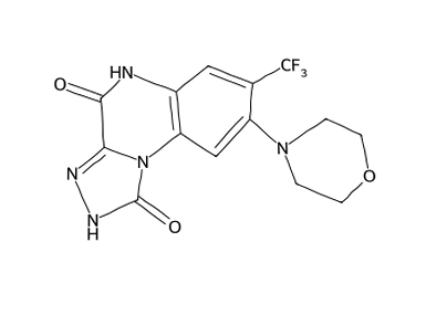 O=c1[nH]c2cc(C(F)(F)F)c(N3CCOCC3)cc2n2c(=O)[nH]nc12